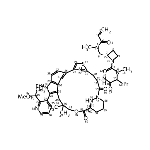 C=CC(=O)N(C)C[C@@H]1CCN1C(=O)N(C)C(C(=O)N[C@H]1Cc2nc(cs2)-c2ccc3c(c2)c(c(-c2cccnc2[C@H](C)OC)n3CC)CC(C)(C)COC(=O)[C@@H]2CCCN(N2)C1=O)C(C)C